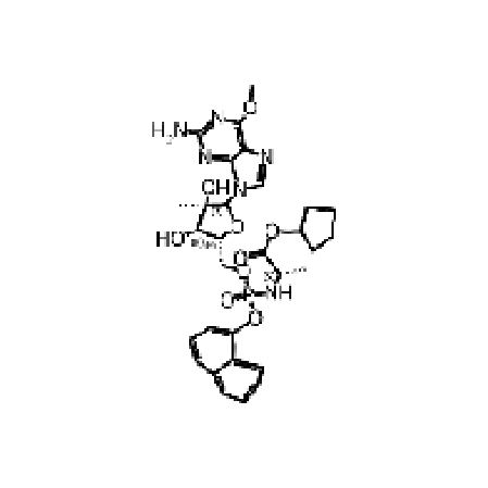 COc1nc(N)nc2c1ncn2C1O[C@H](COP(=O)(N[C@@H](C)C(=O)OC2CCCC2)Oc2cccc3ccccc23)[C@@H](O)[C@@]1(C)O